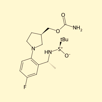 C[C@@H](N[S@+]([O-])C(C)(C)C)c1cc(F)ccc1N1CC[C@@H](COC(N)=O)C1